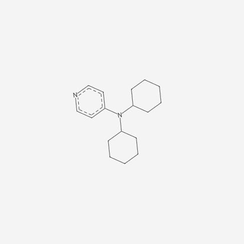 c1cc(N(C2CCCCC2)C2CCCCC2)ccn1